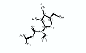 C=CN(C(=O)N=C(N)N)[C@@H]1O[C@H](CO)C(O)[C@@H]1O